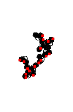 c1ccc(-c2nc(-c3ccc(-c4ccc5oc6c(-c7ccc8c(c7)oc7c(-c9ccc(-c%10cccc%11c%10oc%10ccccc%10%11)c(-c%10cc(-c%11ccc(-c%12cccc%13c%12oc%12ccccc%12%13)cc%11)nc(-c%11ccccc%11)n%10)c9)cccc78)cccc6c5c4)cc3)cc(-c3cc(-c4ccc5oc6ccccc6c5c4)ccc3-c3ccc4oc5ccccc5c4c3)n2)cc1